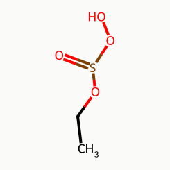 CCOS(=O)OO